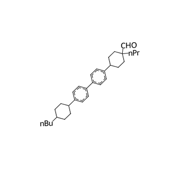 CCCCC1CCC(c2ccc(-c3ccc(C4CCC(C=O)(CCC)CC4)cc3)cc2)CC1